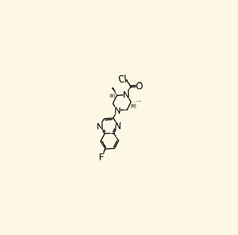 C[C@@H]1CN(c2cnc3cc(F)ccc3n2)C[C@@H](C)N1C(=O)Cl